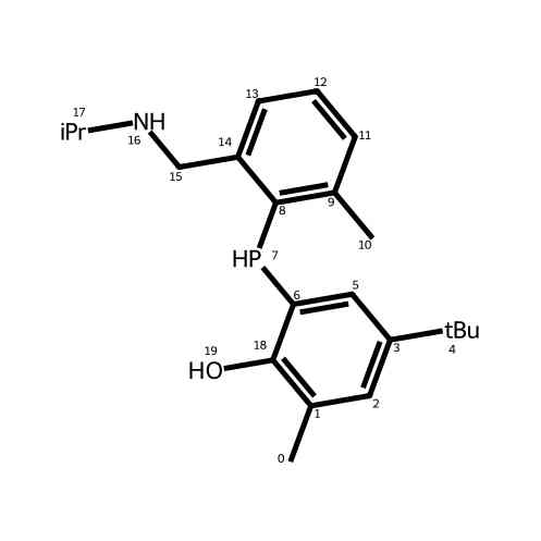 Cc1cc(C(C)(C)C)cc(Pc2c(C)cccc2CNC(C)C)c1O